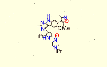 COc1cc2c(cc1-c1c(C)noc1C)[nH]c1nc(C)nc(-c3cc(C(=O)N4CCN(C(C)C)CC4)[nH]c3C(C)C)c12